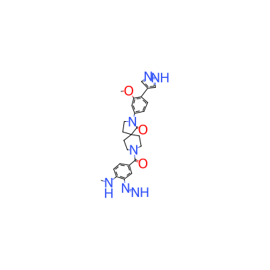 CNc1ccc(C(=O)N2CCC3(CC2)CCN(c2ccc(-c4cn[nH]c4)c(OC)c2)C3=O)cc1N=N